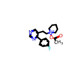 CC(=O)O[N+]1(CCc2cncnc2-c2ccc(F)cc2)CCCCC1